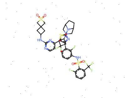 O=S1(=O)CC2(CC(Nc3nccc(-c4sc(N5C6CCC5CN(C5CC(F)(F)C5)C6)nc4-c4cccc(NS(=O)(=O)c5c(F)cccc5C(F)(F)F)c4F)n3)C2)C1